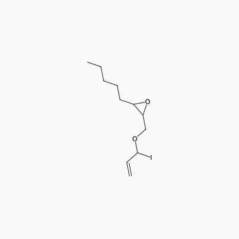 C=CC(I)OCC1OC1CCCCC